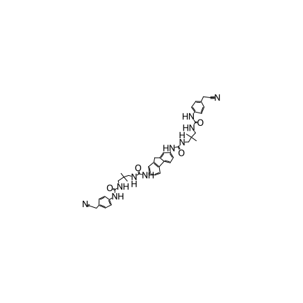 CC(C)(CNC(=O)Nc1ccc(CC#N)cc1)CNC(=O)Nc1ccc2c(c1)Cc1cc(NC(=O)NCC(C)(C)CNC(=O)Nc3ccc(CC#N)cc3)ccc1-2